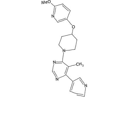 COc1ccc(OC2CCN(c3ncnc(-c4cccnc4)c3C)CC2)cn1